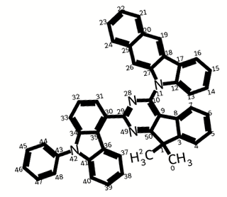 CC1(C)c2ccccc2-c2c(-n3c4ccccc4c4cc5ccccc5cc43)nc(-c3cccc4c3c3ccccc3n4-c3ccccc3)nc21